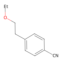 CCOCCc1ccc(C#N)cc1